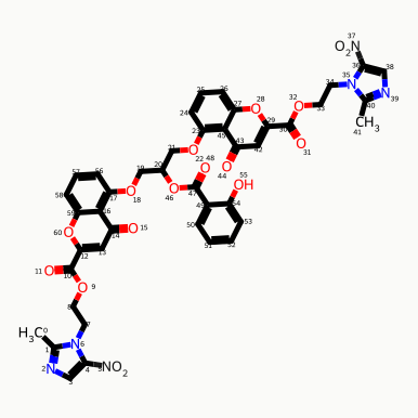 Cc1ncc([N+](=O)[O-])n1CCOC(=O)c1cc(=O)c2c(OCC(COc3cccc4oc(C(=O)OCCn5c([N+](=O)[O-])cnc5C)cc(=O)c34)OC(=O)c3ccccc3O)cccc2o1